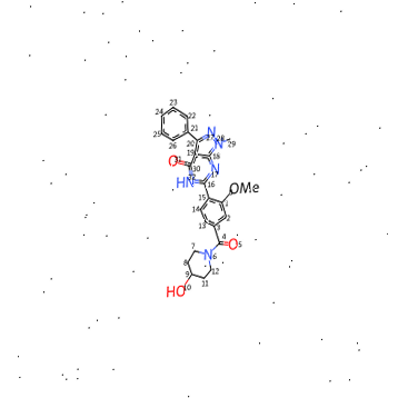 COc1cc(C(=O)N2CCC(O)CC2)ccc1-c1nc2c(c(-c3ccccc3)nn2C)c(=O)[nH]1